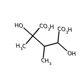 CC(C(O)C(=O)O)C(C)(O)C(=O)O